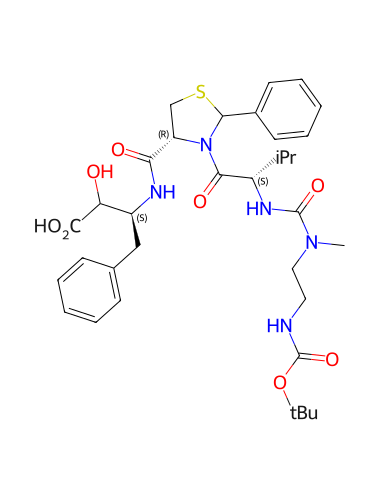 CC(C)[C@H](NC(=O)N(C)CCNC(=O)OC(C)(C)C)C(=O)N1C(c2ccccc2)SC[C@H]1C(=O)N[C@@H](Cc1ccccc1)C(O)C(=O)O